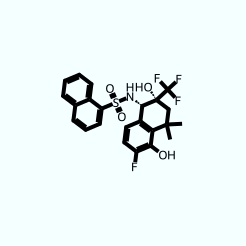 CC1(C)C[C@](O)(C(F)(F)F)[C@@H](NS(=O)(=O)c2cccc3ccccc23)c2ccc(F)c(O)c21